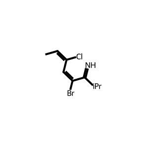 C/C=C(Cl)\C=C(\Br)C(=N)C(C)C